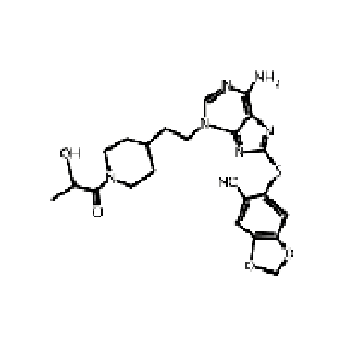 CC(O)C(=O)N1CCC(CCn2cnc(N)c3nc(Sc4cc5c(cc4C#N)OCO5)nc2-3)CC1